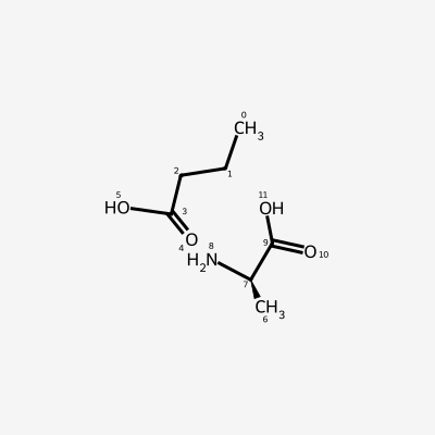 CCCC(=O)O.C[C@@H](N)C(=O)O